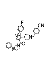 C[C@]1(c2ccccc2)CCN(C(=O)c2cnn(-c3ccc(F)cc3)c2C2CCN(Cc3ccc(C#N)cc3)CC2)C1